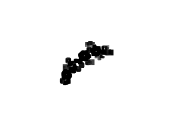 CCCc1cc(C(O)(C(F)(F)F)C(F)(F)F)ccc1Oc1ccc(C(=O)CN2C(=O)NC(C)(c3ccc4c(c3)CCO4)C2=O)c(O)c1